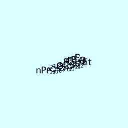 CCCC1CCC(C2CC=C(c3ccc4c(c3F)C(F)(F)c3c-4ccc(OCC)c3F)CO2)CC1